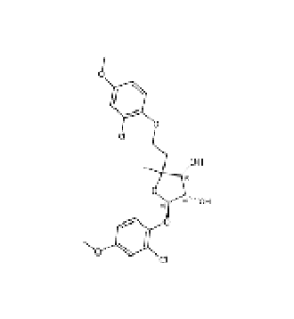 COc1ccc(OCCC2(C)O[C@H](Oc3ccc(OC)cc3Cl)[C@@H](O)[C@H]2O)c(Cl)c1